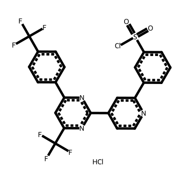 Cl.O=S(=O)(Cl)c1cccc(-c2cc(-c3nc(-c4ccc(C(F)(F)F)cc4)cc(C(F)(F)F)n3)ccn2)c1